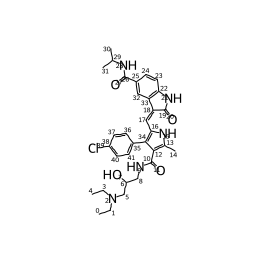 CCN(CC)CC(O)CNC(=O)c1c(C)[nH]c(/C=C2\C(=O)Nc3ccc(C(=O)NC(C)C)cc32)c1-c1ccc(Cl)cc1